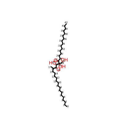 CCCCCCCCCCCCCCCCC(C)C(=O)C(O)C(O)(CO)C(=O)CCCCCCCCCCCCCCC